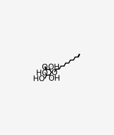 C=CCCCCCCCCCO[C@@H]([C@H](O)[C@H](O)CO)[C@@H](O)C=O